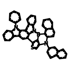 c1ccc(-n2c3ccccc3c3cc4c5c(c6ccccc6n5B5c6c(csc6-4)N(c4ccc6ccccc6c4)c4ccc6ccccc6c45)c32)cc1